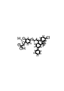 Cc1cc(SCC=C(c2ccc(Cl)cc2)c2ccc(-c3ccccc3)cc2C(F)(F)F)ccc1OCC(=O)O